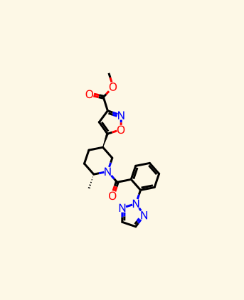 COC(=O)c1cc([C@@H]2CC[C@@H](C)N(C(=O)c3ccccc3-n3nccn3)C2)on1